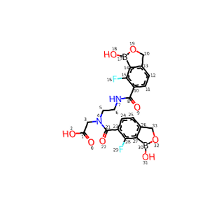 O=C(O)CN(CCNC(=O)c1ccc2c(c1F)B(O)OC2)C(=O)c1ccc2c(c1F)B(O)OC2